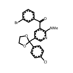 CNc1ncc(C2(c3ccc(Cl)cc3)OCCO2)cc1C(=O)c1cccc(Br)c1